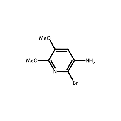 COc1cc(N)c(Br)nc1OC